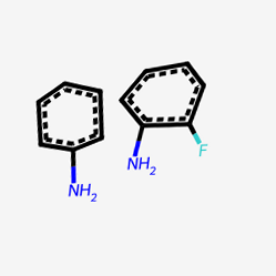 Nc1ccccc1.Nc1ccccc1F